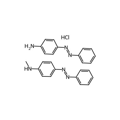 CNc1ccc(N=Nc2ccccc2)cc1.Cl.Nc1ccc(N=Nc2ccccc2)cc1